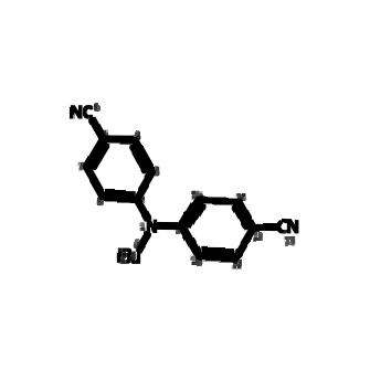 CCC(C)N(c1ccc(C#N)cc1)c1ccc(C#N)cc1